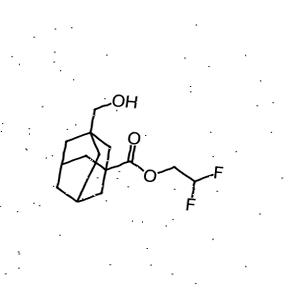 O=C(OCC(F)F)C12CC3CC(CC(CO)(C3)C1)C2